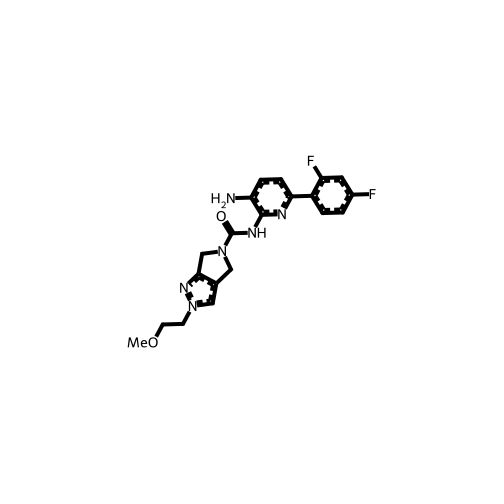 COCCn1cc2c(n1)CN(C(=O)Nc1nc(-c3ccc(F)cc3F)ccc1N)C2